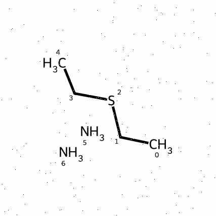 CCSCC.N.N